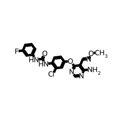 CON=Cc1c(N)ncnc1Oc1ccc(NC(=O)Nc2cccc(F)c2)c(Cl)c1